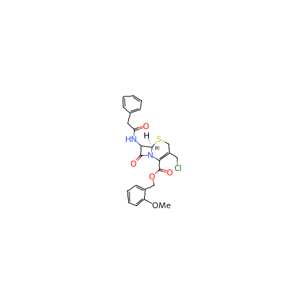 COc1ccccc1COC(=O)C1=C(CCl)CS[C@@H]2C(NC(=O)Cc3ccccc3)C(=O)N12